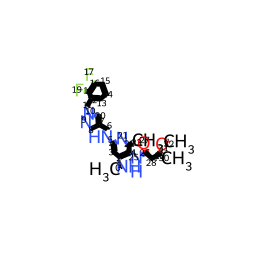 CNc1cc(NCc2cnn(Cc3cccc(F)c3F)c2)nc(C)c1NC(=O)C[C@@H](C)OC